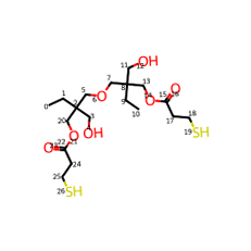 CCC(CO)(COCC(CC)(CO)COC(=O)CCS)COC(=O)CCS